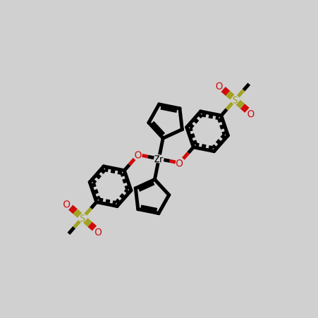 CS(=O)(=O)c1ccc([O][Zr]([O]c2ccc(S(C)(=O)=O)cc2)([C]2=CC=CC2)[C]2=CC=CC2)cc1